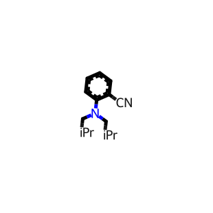 CC(C)CN(CC(C)C)c1ccccc1C#N